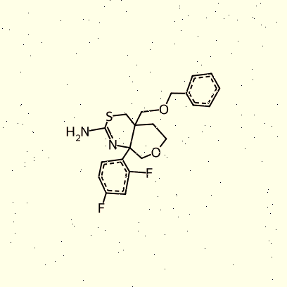 NC1=NC2(c3ccc(F)cc3F)COCCC2(COCc2ccccc2)CS1